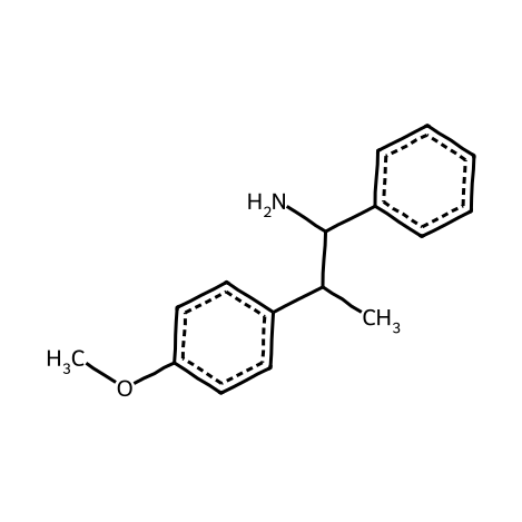 COc1ccc(C(C)C(N)c2ccccc2)cc1